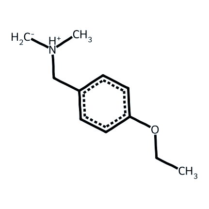 [CH2-][NH+](C)Cc1ccc(OCC)cc1